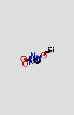 COC(=O)c1cnc2c(ccn2COCC[Si](C)(C)C)n1